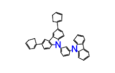 C1=CCCC(c2ccc3c(c2)c2cc(C4=CC=CCC4)ccc2n3-c2cccc(-n3c4ccccc4c4ccccc43)c2)=C1